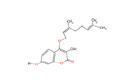 CC(=O)Oc1c(OCC=C(C)CCC=C(C)C)c2ccc(OC(C)C)cc2oc1=O